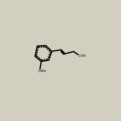 COc1cccc(C=CCC=O)c1